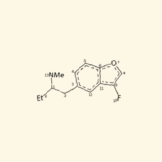 CCC(Cc1ccc2occ(F)c2c1)NC